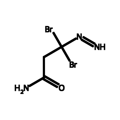 N=NC(Br)(Br)CC(N)=O